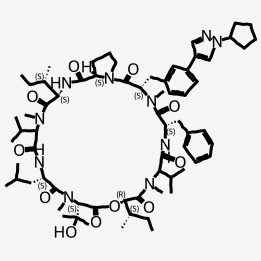 CC[C@H](C)[C@@H]1NC(=O)[C@@H]2CCCN2C(=O)[C@H](Cc2cccc(-c3cnn(C4CCCC4)c3)c2)N(C)C(=O)[C@H](Cc2ccccc2)NC(=O)C(C(C)C)N(C)C(=O)[C@@H]([C@@H](C)CC)OC(=O)[C@H](C(C)(C)O)N(C)C(=O)[C@H](CC(C)C)NC(=O)C(C(C)C)N(C)C1=O